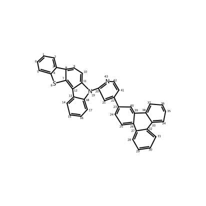 c1ccc2c(c1)sc1c2ccc2c1c1ccccc1n2-c1cc(-c2ccc3c4ccccc4c4ccccc4c3c2)ccn1